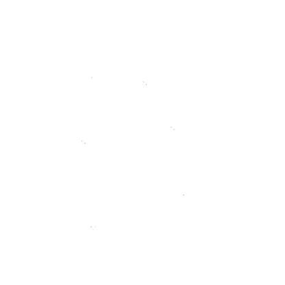 COc1cccc(CN(C(=O)c2cc(-c3cc(C#N)ccc3C(=O)N3Cc4ccccc4C[C@H]3CN3CCOCC3)n(C)c2C)c2ccc(O)cc2)c1C